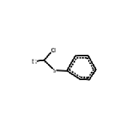 CCC(Cl)Sc1ccccc1